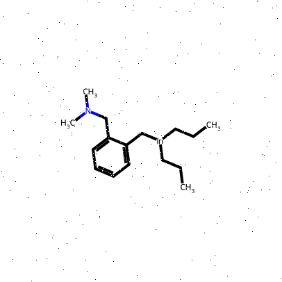 CC[CH2][In]([CH2]CC)[CH2]c1ccccc1CN(C)C